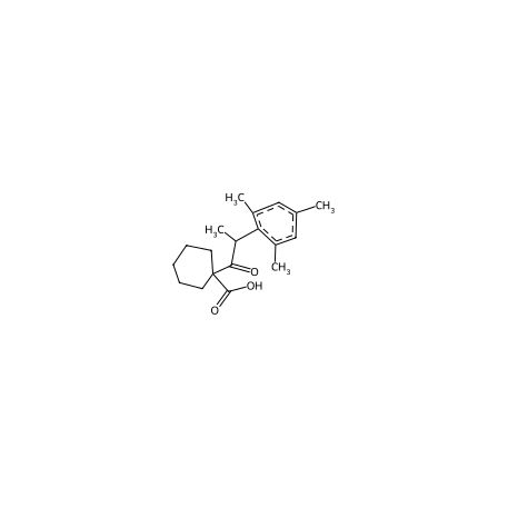 Cc1cc(C)c(C(C)C(=O)C2(C(=O)O)CCCCC2)c(C)c1